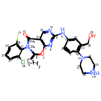 CC1Oc2nc(Nc3ccc(N4CCNCC4)c(CO)c3)ncc2C(=O)N1c1c(F)cccc1Cl